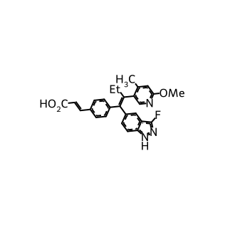 CCC(=C(c1ccc(C=CC(=O)O)cc1)c1ccc2[nH]nc(F)c2c1)c1cnc(OC)cc1C